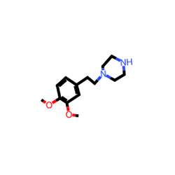 COc1ccc(CCN2CCNCC2)cc1OC